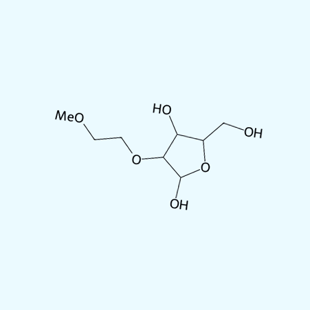 COCCOC1C(O)OC(CO)C1O